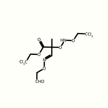 CC(C=NOCC=O)(ONOCC(Cl)(Cl)Cl)C(=O)OCC(Cl)(Cl)Cl